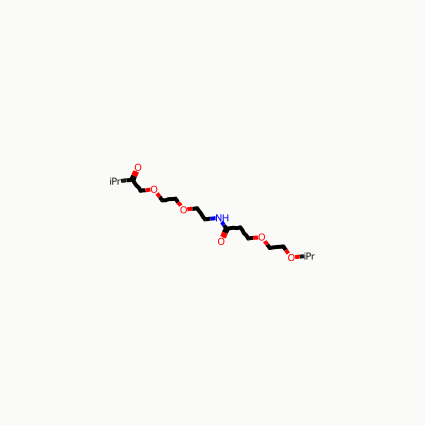 CC(C)OCCOCCC(=O)NCCOCCOCC(=O)C(C)C